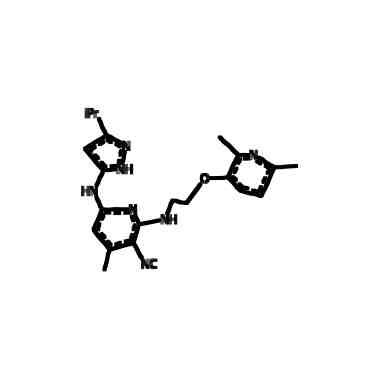 [C-]#[N+]c1c(C)cc(Nc2cc(C(C)C)n[nH]2)nc1NCCOc1ccc(C)nc1C